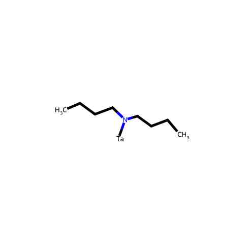 CCCC[N]([Ta])CCCC